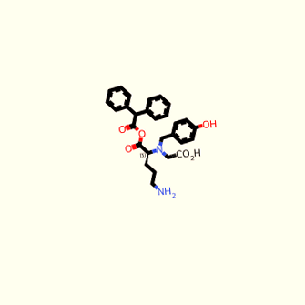 NCCC[C@@H](C(=O)OC(=O)C(c1ccccc1)c1ccccc1)N(CC(=O)O)Cc1ccc(O)cc1